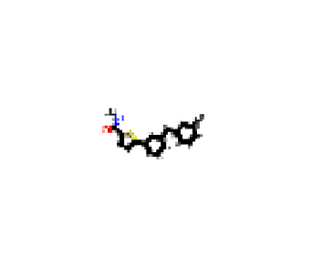 CCNC(=O)c1ccc(-c2cccc(Cc3cccc(C(C)C)c3)c2)s1